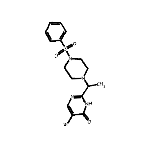 CC(c1ncc(Br)c(=O)[nH]1)N1CCN(S(=O)(=O)c2ccccc2)CC1